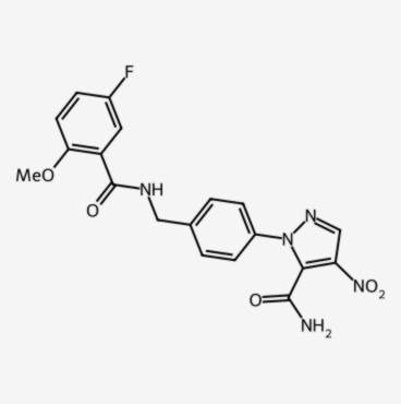 COc1ccc(F)cc1C(=O)NCc1ccc(-n2ncc([N+](=O)[O-])c2C(N)=O)cc1